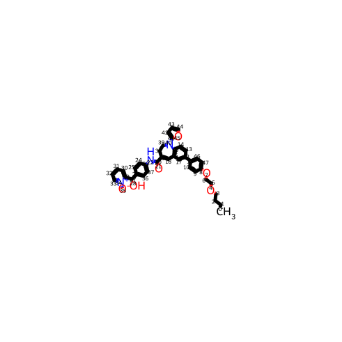 CCCCOCCOc1ccc(-c2ccc3c(c2)C=C(C(=O)Nc2ccc([C@H](O)c4cccc[n+]4[O-])cc2)CCN3c2ccco2)cc1